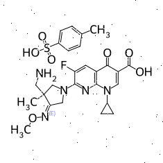 CO/N=C1/CN(c2nc3c(cc2F)c(=O)c(C(=O)O)cn3C2CC2)CC1(C)CN.Cc1ccc(S(=O)(=O)O)cc1